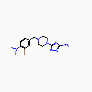 CN(C)c1ccc(CN2CCN(c3nc(N)n[nH]3)CC2)cc1Br